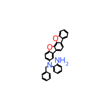 Nc1ccccc1N(Cc1ccccc1)c1ccc2oc3c(ccc4c5ccccc5oc43)c2c1